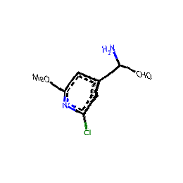 COc1cc(C(N)C=O)cc(Cl)n1